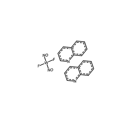 O=[N][W]([F])([F])[N]=O.c1ccc2ncccc2c1.c1ccc2ncccc2c1